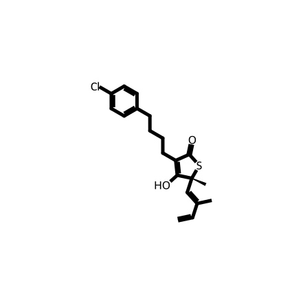 C=C/C(C)=C/[C@@]1(C)SC(=O)C(CCCCc2ccc(Cl)cc2)=C1O